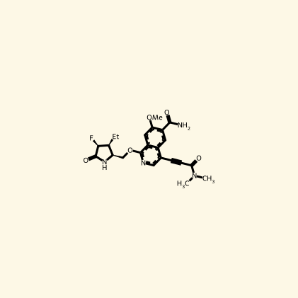 CC[C@@H]1[C@H](F)C(=O)N[C@@H]1COc1ncc(C#CC(=O)N(C)C)c2cc(C(N)=O)c(OC)cc12